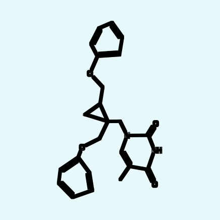 Cc1cn(CC2(COc3ccccc3)CC2COc2ccccc2)c(=O)[nH]c1=O